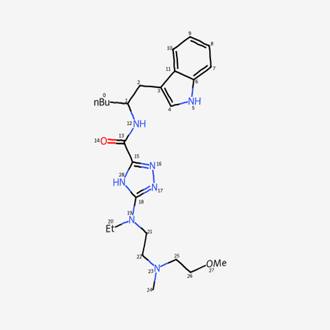 CCCCC(Cc1c[nH]c2ccccc12)NC(=O)c1nnc(N(CC)CCN(C)CCOC)[nH]1